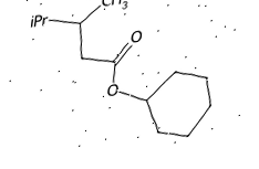 CC(C)C(C)CC(=O)OC1CCCCC1